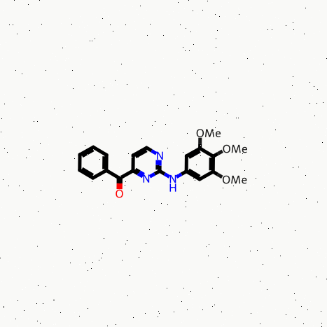 COc1cc(Nc2nccc(C(=O)c3ccccc3)n2)cc(OC)c1OC